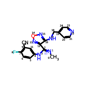 C/N=C(\Nc1ccc(F)c(C#N)c1)c1nonc1NCc1ccncc1